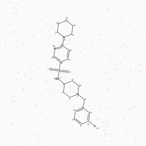 O=S(=O)(NC1CCN(Cc2cccc(F)c2)CC1)c1ccc(N2CCOCC2)nc1